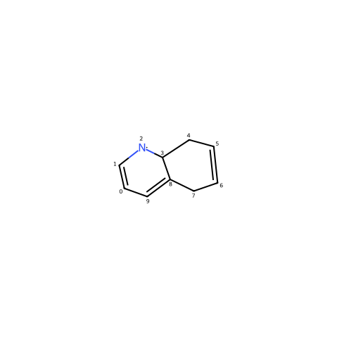 C1=C[N]C2CC=CCC2=C1